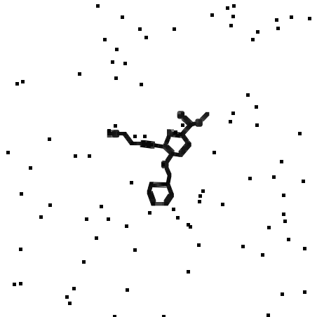 COC(=O)c1ccc(OCc2ccccc2)c(C#CCCO)n1